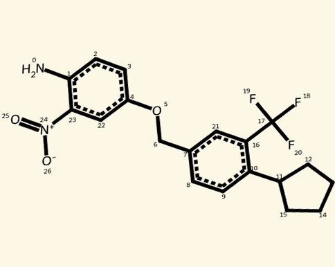 Nc1ccc(OCc2ccc(C3CCCC3)c(C(F)(F)F)c2)cc1[N+](=O)[O-]